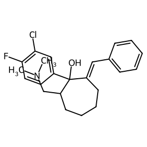 CN(C)CC1CCCCC(=Cc2ccccc2)C1(O)c1ccc(F)c(Cl)c1